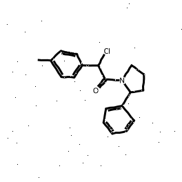 Cc1ccc(C(Cl)C(=O)N2CCCC2c2ccccc2)cc1